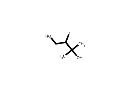 CC(C)(O)C(I)CO